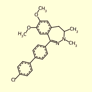 COc1cc2c(cc1OC)C(c1ccc(-c3ccc(Cl)cc3)cc1)=NN(C)C(C)C2